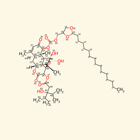 CCCCCCCCCCCCCCCC1OCC(COC(=O)O[C@@H]2C(=O)C=C(C)[C@@H]3C[C@H]4OC(=O)C(OC(=O)CC(O)(C(C)C)C(C)C)C5[C@@H](C)[C@@H](O)[C@]6(O)OC[C@@]54C6[C@@]23C)O1